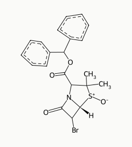 CC1(C)C(C(=O)OC(c2ccccc2)c2ccccc2)N2C(=O)C(Br)[C@H]2[S+]1[O-]